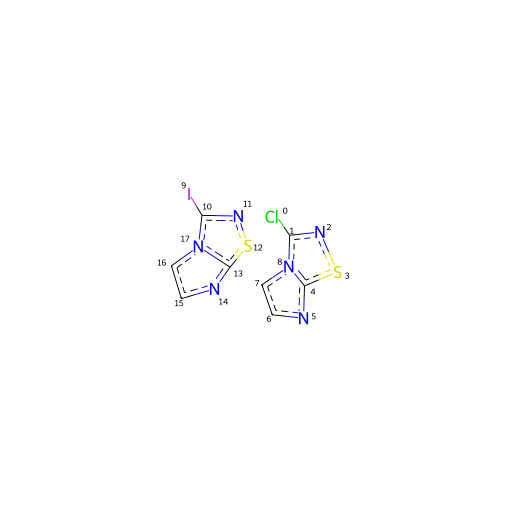 Clc1nsc2nccn12.Ic1nsc2nccn12